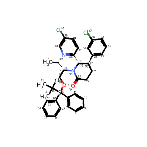 CC[C@@H](CO[Si](c1ccccc1)(c1ccccc1)C(C)(C)C)N1C(=O)CC[C@H](c2cccc(Cl)c2)[C@H]1c1ccc(Cl)cn1